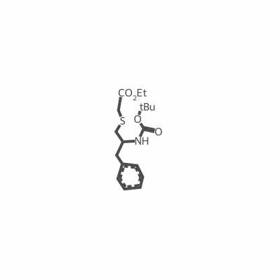 CCOC(=O)CSCC(Cc1ccccc1)NC(=O)OC(C)(C)C